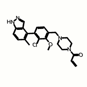 C=CC(=O)N1CCN(Cc2ccc(-c3c(C)ccc4[nH]ncc34)c(Cl)c2OC)CC1